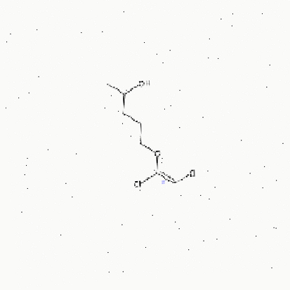 CC(O)CCCO/C(Cl)=C\Cl